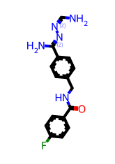 N/C=N\N=C(/N)c1ccc(CNC(=O)c2ccc(F)cc2)cc1